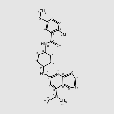 CSc1ccc(Cl)c(C(=O)NC2CCC(Nc3cc(N(C)C)c4ccccc4n3)CC2)c1